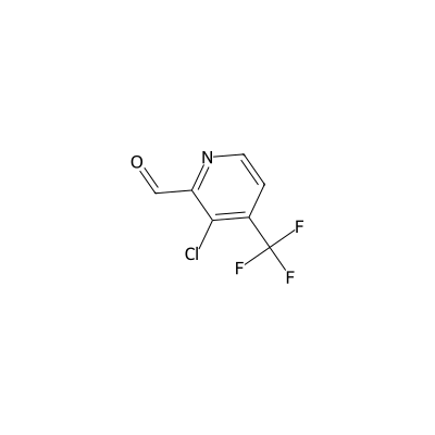 O=Cc1nccc(C(F)(F)F)c1Cl